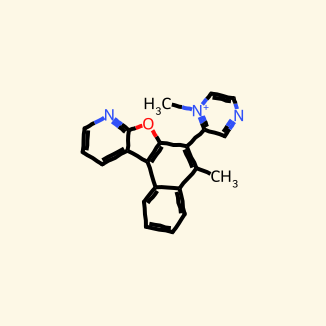 Cc1c(-c2cncc[n+]2C)c2oc3ncccc3c2c2ccccc12